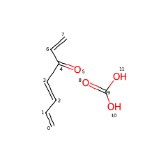 C=CC=CC(=O)C=C.O=C(O)O